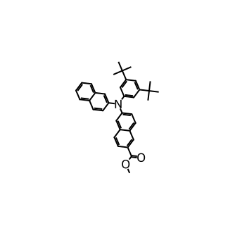 COC(=O)c1ccc2cc(N(c3cc(C(C)(C)C)cc(C(C)(C)C)c3)c3ccc4ccccc4c3)ccc2c1